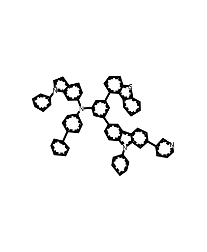 c1ccc(-c2ccc(N(c3cc(-c4ccc5c(c4)c4ccc(-c6cccnc6)cc4n5-c4ccccc4)cc(-c4cccc5sc6ccccc6c45)c3)c3ccc4ccn(-c5ccccc5)c4c3)cc2)cc1